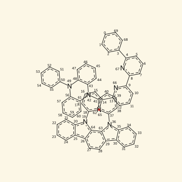 c1ccc(-c2cccc(-c3cccc(-c4cccc(-n5c6ccccc6c6ccc7c8ccccc8n(-c8cccc(N9c%10ccccc%10N(c%10ccccc%10)c%10ccccc%109)n8)c7c65)c4)n3)n2)cc1